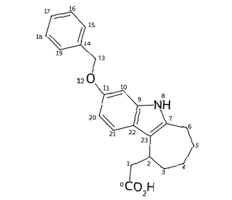 O=C(O)CC1CCCCc2[nH]c3cc(OCc4ccccc4)ccc3c21